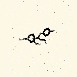 COc1ccc(C(CCCl)Oc2ccc(C(F)(F)F)cc2)c(OC)c1